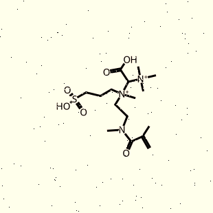 C=C(C)C(=O)N(C)CC[N+](C)(CCCS(=O)(=O)O)C(C(=O)O)[N+](C)(C)C